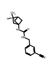 C[C@H]1CC2(NC(=O)NCc3cccc(C#N)c3)CC1C2